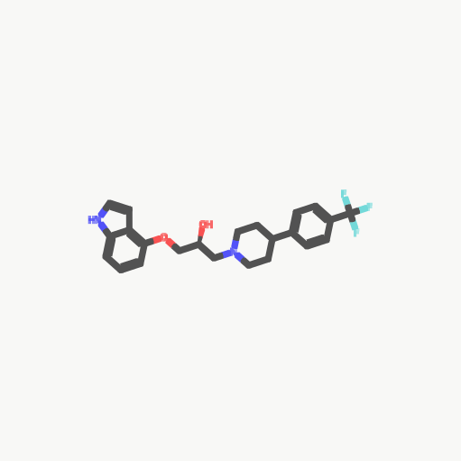 O[C@H](COc1cccc2[nH]ccc12)CN1CCC(c2ccc(C(F)(F)F)cc2)CC1